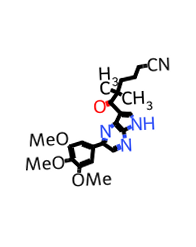 COc1cc(-c2cnc3[nH]cc(C(=O)C(C)(C)CCCC#N)c3n2)cc(OC)c1OC